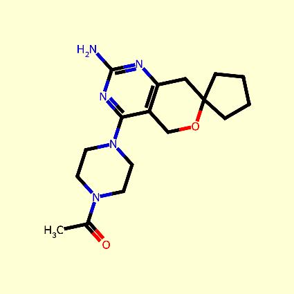 CC(=O)N1CCN(c2nc(N)nc3c2COC2(CCCC2)C3)CC1